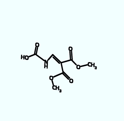 COC(=O)C(=CNC(=O)O)C(=O)OC